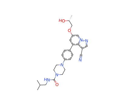 CC(C)CNC(=O)N1CCN(c2ccc(-c3cc(OC[C@@H](C)O)cn4ncc(C#N)c34)cc2)CC1